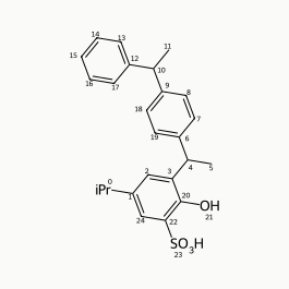 CC(C)c1cc(C(C)c2ccc(C(C)c3ccccc3)cc2)c(O)c(S(=O)(=O)O)c1